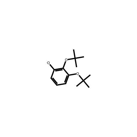 CC(C)(C)Oc1cccc([O])c1OC(C)(C)C